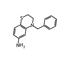 Nc1ccc2c(c1)N(Cc1ccccc1)CCS2